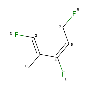 CC(=C\F)/C(F)=C\CF